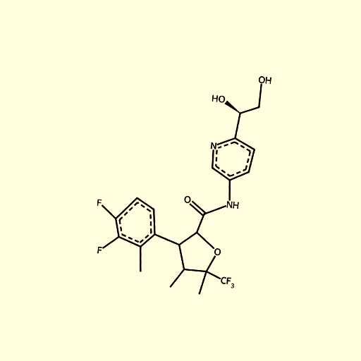 Cc1c(C2C(C(=O)Nc3ccc([C@@H](O)CO)nc3)OC(C)(C(F)(F)F)C2C)ccc(F)c1F